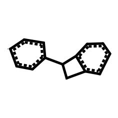 [c]1ccc(C2Cc3ccccc32)cc1